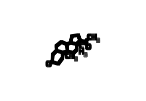 CC(=O)C1CCC2C3CCC4CC(=O)CCC4(C)C3CCC12C